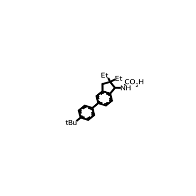 CCC1(CC)Cc2cc(-c3ccc(C(C)(C)C)cc3)ccc2C1NC(=O)O